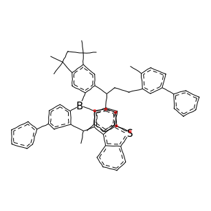 Cc1cc(C)c2c(c1)C(CCc1cc(-c3ccccc3)ccc1C)c1cc3c(cc1B2c1ccc(-c2ccccc2)cc1C(C)c1cccc2sc4ccccc4c12)C(C)(C)CC3(C)C